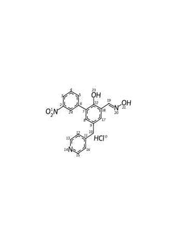 Cl.O=[N+]([O-])c1cccc(-c2cc(Cc3ccncc3)cc(/C=N/O)c2O)c1